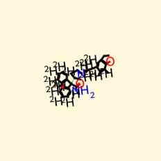 [2H]c1c([2H])c([2H])c(C(C(N)=O)(c2c([2H])c([2H])c([2H])c([2H])c2[2H])[C@@H]2CCN(C([2H])([2H])C([2H])([2H])c3c([2H])c([2H])c4c(c3[2H])CCO4)C2)c([2H])c1[2H]